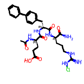 CC(=O)N[C@H](CCC(=O)O)C(=O)N[C@H](Cc1ccc(-c2ccccc2)cc1)C(=O)N[C@H](CCCNC(=N)NCl)C(N)=O